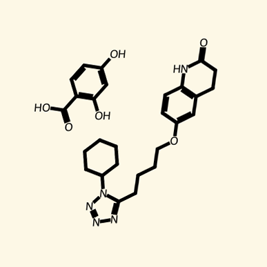 O=C(O)c1ccc(O)cc1O.O=C1CCc2cc(OCCCCc3nnnn3C3CCCCC3)ccc2N1